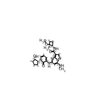 CNc1cc(Nc2cccn([C@@H]3CCC[C@@H]3O)c2=O)nc2c(C(=O)N[C@H]3CC[C@]3(C)OC)cnn12